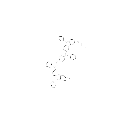 C=Cc1ccc2c(c1)c1cc(C(CCc3ccc(N(c4cccc(C)c4)c4ccc5c(c4)c4cc(C=C)ccc4n5-c4ccccc4)cc3)c3cccc(C)c3)ccc1n2-c1ccccc1